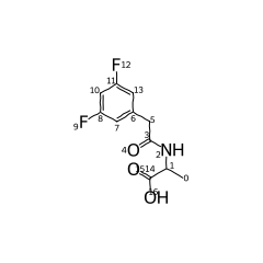 CC(NC(=O)Cc1cc(F)cc(F)c1)C(=O)O